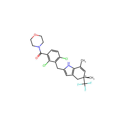 CC1=C[C@](C)(C(F)(F)F)Cc2cc(Cc3c(Cl)ccc(C(=O)N4CCOCC4)c3Cl)[nH]c21